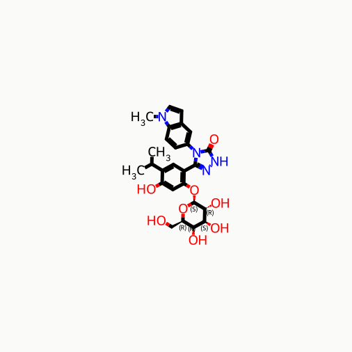 CC(C)c1cc(-c2n[nH]c(=O)n2-c2ccc3c(ccn3C)c2)c(O[C@@H]2O[C@H](CO)[C@H](O)[C@H](O)[C@H]2O)cc1O